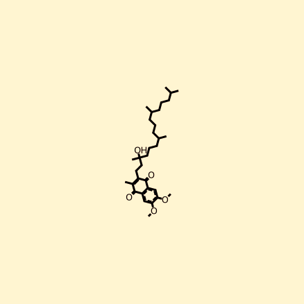 COc1cc2c(cc1OC)C(=O)C(CCC(C)(O)CCCC(C)CCCC(C)CCCC(C)C)=C(C)C2=O